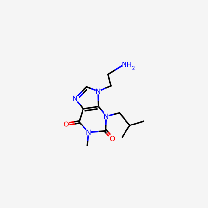 CC(C)Cn1c(=O)n(C)c(=O)c2ncn(CCN)c21